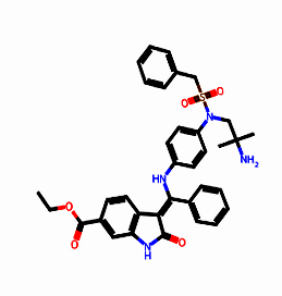 CCOC(=O)c1ccc2c(c1)NC(=O)C2=C(Nc1ccc(N(CC(C)(C)N)S(=O)(=O)Cc2ccccc2)cc1)c1ccccc1